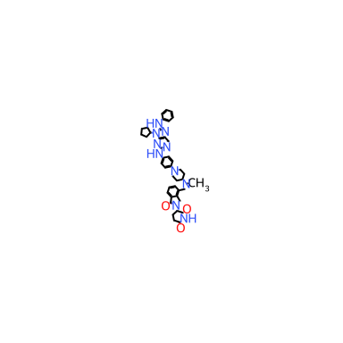 CN(Cc1cccc2c1CN(C1CCC(=O)NC1=O)C2=O)C1CCN(c2ccc(Nc3ncc4nc(Nc5ccccc5)n(C5CCCC5)c4n3)cc2)CC1